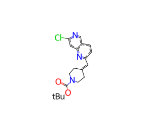 CC(C)(C)OC(=O)N1CCC(=Cc2ccc3cnc(Cl)cc3n2)CC1